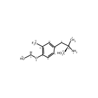 C[C@](N)(Cc1ccc(OBO)c(C(F)(F)F)c1)C(=O)O